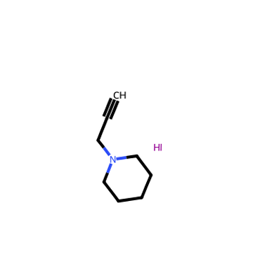 C#CCN1CCCCC1.I